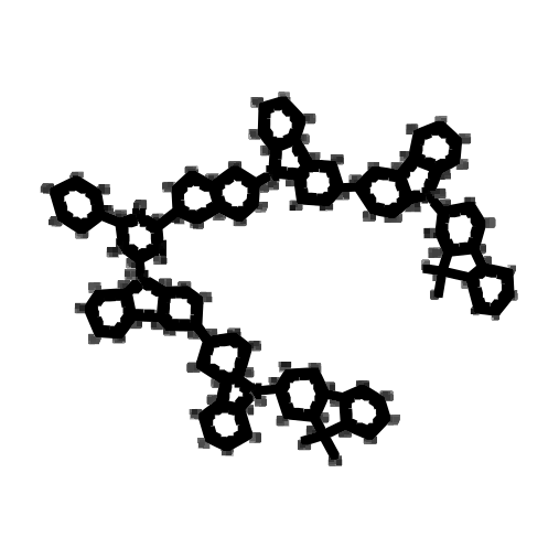 CC1(C)c2ccccc2-c2ccc(-n3c4ccccc4c4cc(-c5ccc6c(c5)c5ccccc5n6-c5ccc6cc(-c7nc(-c8ccccc8)nc(-n8c9ccccc9c9cc(-c%10ccc%11c(c%10)c%10ccccc%10n%11-c%10ccc%11c(c%10)C(C)(C)c%10ccccc%10-%11)ccc98)n7)ccc6c5)ccc43)cc21